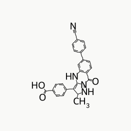 CC1NN2C(=O)c3ccc(-c4ccc(C#N)cc4)cc3NC2=C1c1ccc(C(=O)O)cc1